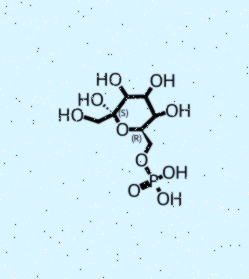 O=P(O)(O)OC[C@H]1O[C@@](O)(CO)C(O)C(O)C1O